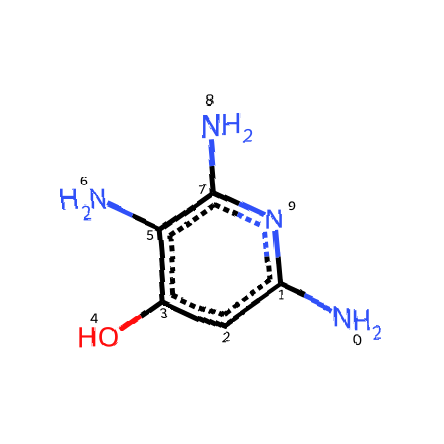 Nc1cc(O)c(N)c(N)n1